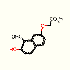 O=Cc1c(O)ccc2ccc(OCC(=O)O)cc12